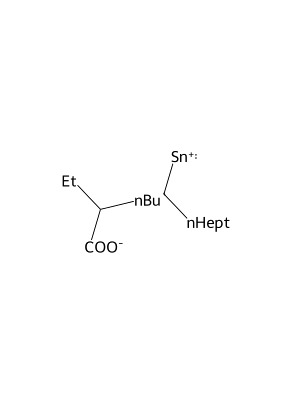 CCCCC(CC)C(=O)[O-].CCCCCCC[CH2][Sn+]